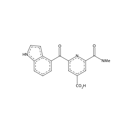 CNC(=O)c1cc(C(=O)O)cc(C(=O)c2cccc3[nH]ccc23)n1